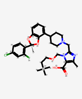 Cc1nc(CN2CCC(c3cccc4c3O[C@@](C)(c3ccc(Cl)cc3F)O4)CC2)n(COCC[Si](C)(C)C)c1C(=O)O